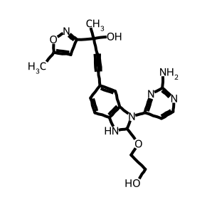 Cc1cc(C(C)(O)C#Cc2ccc3c(c2)N(c2ccnc(N)n2)C(OCCO)N3)no1